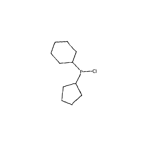 ClP(C1CCCCC1)C1CCCC1